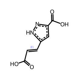 O=C(O)/C=C/c1cc(C(=O)O)n[nH]1